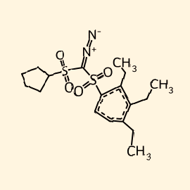 CCc1ccc(S(=O)(=O)C(=[N+]=[N-])S(=O)(=O)C2CCCC2)c(CC)c1CC